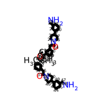 C[Si](C)(O[Si](C)(C)c1cccc(CC(=O)N2CCC(c3cccc(CN)c3)CC2)c1)c1cccc(CC(=O)N2CCC(c3cccc(CN)c3)CC2)c1